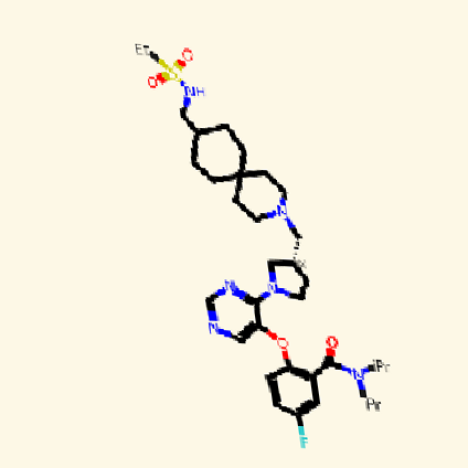 CCS(=O)(=O)NCC1CCC2(CC1)CCN(C[C@@H]1CCN(c3ncncc3Oc3ccc(F)cc3C(=O)N(C(C)C)C(C)C)C1)CC2